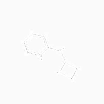 c1ccc(SC2CCC2)nc1